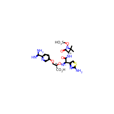 CC1(C)[C@H](NC(=O)/C(=N\O[C@H](COc2ccc(C(=N)N)nc2)C(=O)O)c2csc(N)n2)C(=O)N1OS(=O)(=O)O